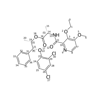 CCOc1c(OC)ccnc1C(=O)N[C@@H](C)C(=O)O[C@@H](C)[C@H](Oc1ccc(Cl)cc1Cl)c1ccccc1